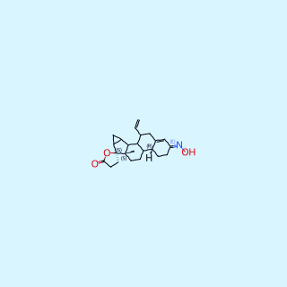 C=CC1CC2=C/C(=N/O)CC[C@@H]2C2CC[C@@]3(C)C(C4CC4[C@@]34CCC(=O)O4)C12